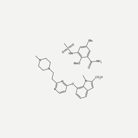 CN1CCN(CCc2nccc(Oc3cccc4cc(C(=O)O)n(C)c34)n2)CC1.COc1c(NS(C)(=O)=O)cc(C(C)(C)C)cc1C(N)=O